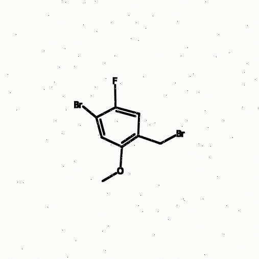 COc1cc(Br)c(F)cc1CBr